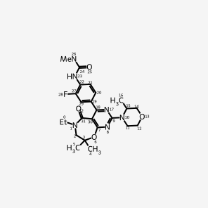 CCN1CC(C)(C)Oc2nc(N3CCOCC3C)nc(-c3ccc(NC(=O)NC)c(F)c3)c2C1=O